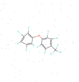 Fc1c(F)c(F)c(Oc2c(F)c(F)c(C(F)(F)F)c(F)c2F)c(F)c1F